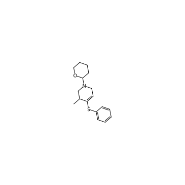 CC1CN(C2CCCCO2)CC=C1Sc1ccccc1